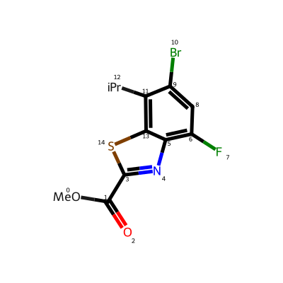 COC(=O)c1nc2c(F)cc(Br)c(C(C)C)c2s1